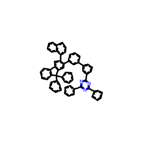 c1ccc(-c2nc(-c3ccccc3)nc(-c3cccc(-c4cccc(-c5cc6c(cc5-c5cccc7ccccc57)-c5ccccc5C6(c5ccccc5)c5ccccc5)c4)c3)n2)cc1